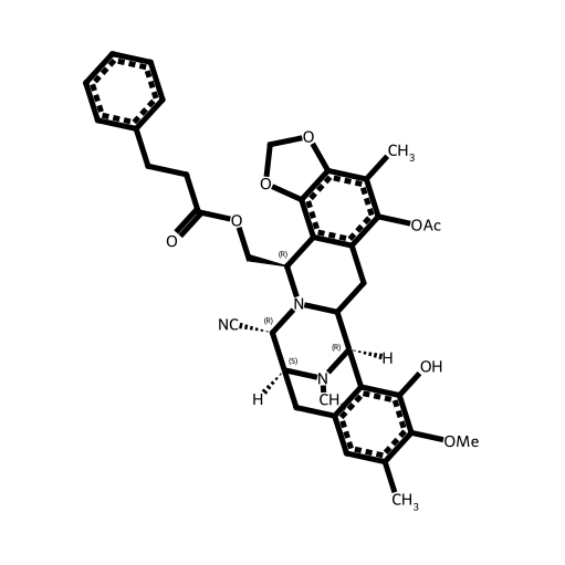 COc1c(C)cc2c(c1O)[C@@H]1C3Cc4c(OC(C)=O)c(C)c5c(c4[C@H](COC(=O)CCc4ccccc4)N3[C@@H](C#N)[C@H](C2)N1C)OCO5